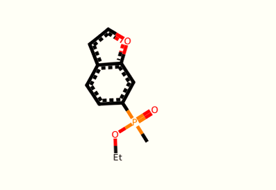 CCOP(C)(=O)c1ccc2ccoc2c1